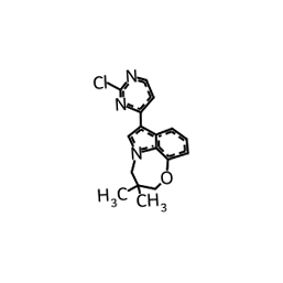 CC1(C)COc2cccc3c(-c4ccnc(Cl)n4)cn(c23)C1